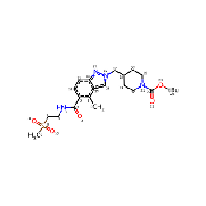 Cc1c(C(=O)NCCS(C)(=O)=O)ccc2nn(CC3CCN(C(=O)OC(C)(C)C)CC3)cc12